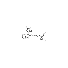 CC/C=C(/N)CCCCCCC(C1C=C(C)C(C)N1)C1CC=CCP1